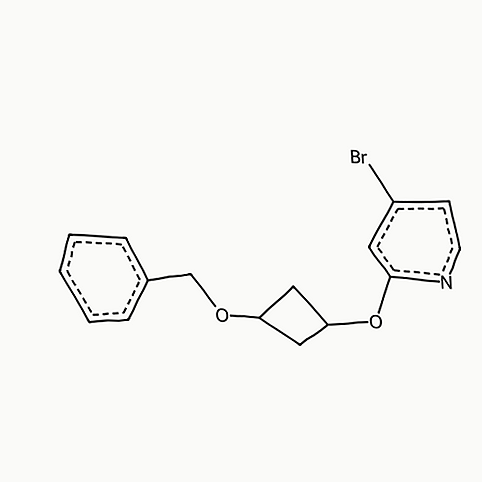 Brc1ccnc(OC2CC(OCc3ccccc3)C2)c1